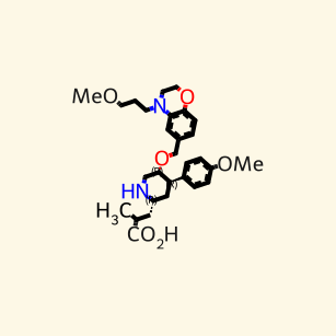 COCCCN1CCOc2ccc(CO[C@H]3CN[C@@H](CC(C)C(=O)O)C[C@@H]3c3ccc(OC)cc3)cc21